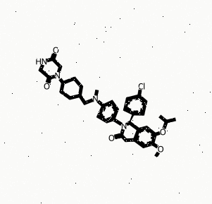 COc1cc2c(cc1OC(C)C)[C@H](c1ccc(Cl)cc1)N(c1ccc(N(C)CC3CCC(N4CC(=O)NCC4=O)CC3)cc1)C(=O)C2